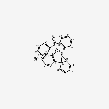 O=P(Oc1cc(Br)ccc1C12C=CC=CC1S2)(c1ccccc1)c1ccccc1